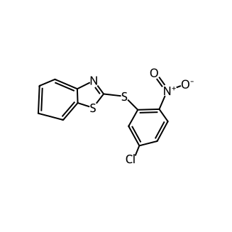 O=[N+]([O-])c1ccc(Cl)cc1Sc1nc2ccccc2s1